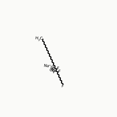 CCCCCCCCCCCCCCCCCCCCC(C(F)C(F)C(F)CCCCCCCCF)S(=O)(=O)[O-].[Na+]